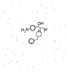 CN(C)CC(C(O)c1ccc(N)cc1)N1CCC(Cc2ccccc2)CC1